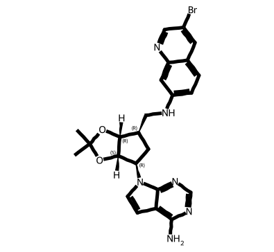 CC1(C)O[C@@H]2[C@@H](CNc3ccc4cc(Br)cnc4c3)C[C@@H](n3ccc4c(N)ncnc43)[C@@H]2O1